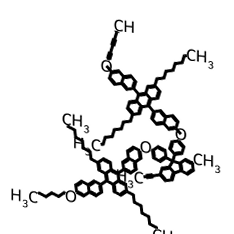 C#CC#CC#COc1ccc2cc(-c3c4ccc(CCCCCCCC)cc4c(-c4ccc5cc(Oc6ccc(C7(c8ccc(Oc9ccc%10cc(-c%11c%12ccc(CCCCCCCC)cc%12c(-c%12ccc%13cc(OCCCCCC)ccc%13c%12)c%12ccc(CCCCCCCC)cc%11%12)ccc%10c9)cc8)c8cc(C)ccc8-c8ccc(C#CC)cc87)cc6)ccc5c4)c4ccc(CCCCCCCC)cc34)ccc2c1